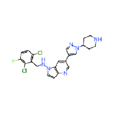 Fc1ccc(Cl)c(CNn2ccc3ncc(-c4cnn(C5CCNCC5)c4)cc32)c1Cl